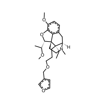 CC[C@@]1(CCCOCc2ccoc2)[C@H]2Cc3ccc(OC)c4c3[C@@]1(CCN2C)[C@H](C(C)OC)O4